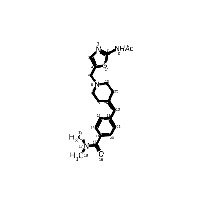 CC(=O)Nc1ncc(CN2CCC(=Cc3ccc(C(=O)N(C)C)cc3)CC2)s1